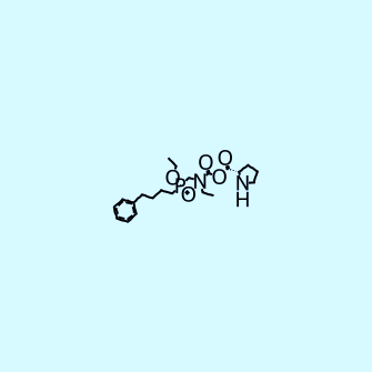 CCOP(=O)(CCCCc1ccccc1)CN(CC)C(=O)OC(=O)[C@@H]1CCCN1